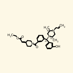 C=CCN1C[C@H](C)N([C@@H](c2cccc(O)c2)c2cccc(C(=O)N3CCC(=CC(=O)OCC)CC3)c2)C[C@H]1C